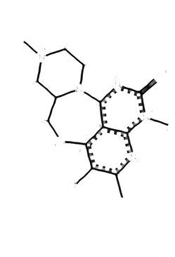 Cc1nc2c3c(nc(=O)n2C)N2CCN(C)CC2CSc3c1Cl